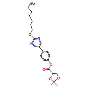 CCC(C)CCCCCCOc1ncc(-c2ccc(OC(=O)C3COC(C)(C)O3)cc2)cn1